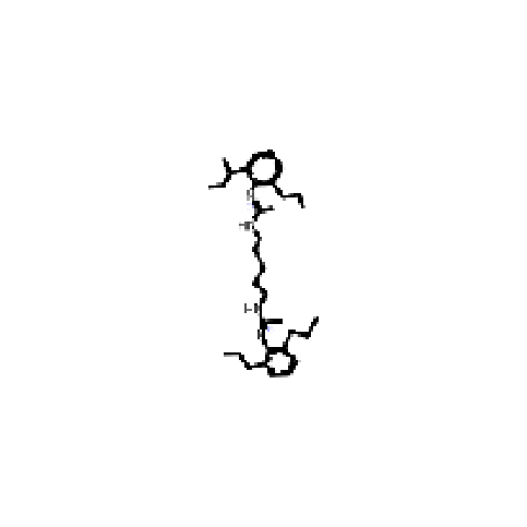 CCCc1cccc(CCC)c1/N=C(\C)NCCCCCN/C(C)=N/c1c(CCC)cccc1C(C)CC